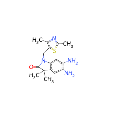 Cc1nc(C)c(CN2C(=O)C(C)(C)c3cc(N)c(N)cc32)s1